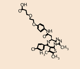 Cc1sc2c(c1C)C(c1ccc(Cl)cc1)=N[C@@H](CC(=O)Nc1ccc(OCCOCCC(=O)O)cc1)c1nnc(C)n1-2